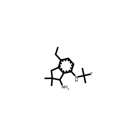 CCc1ccc(NC(C)(C)F)c2c1CC(C)(C)C2N